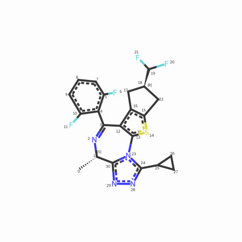 C[C@@H]1N=C(c2c(F)cccc2F)c2c(sc3c2C[C@@H](C(F)F)C3)-n2c(C3CC3)nnc21